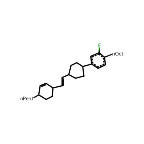 CCCCCCCCc1ccc(C2CCC(/C=C/C3C=CC(CCCCC)CC3)CC2)cc1F